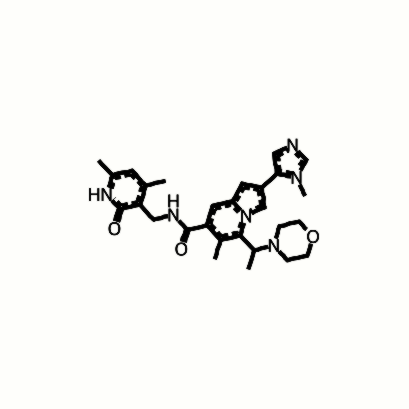 Cc1cc(C)c(CNC(=O)c2cc3cc(-c4cncn4C)cn3c(C(C)N3CCOCC3)c2C)c(=O)[nH]1